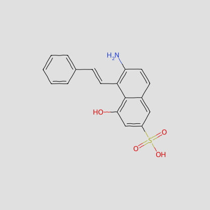 Nc1ccc2cc(S(=O)(=O)O)cc(O)c2c1/C=C/c1ccccc1